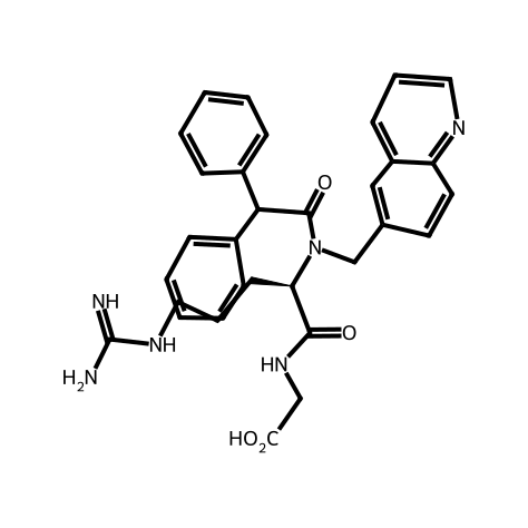 N=C(N)NCCC[C@H](C(=O)NCC(=O)O)N(Cc1ccc2ncccc2c1)C(=O)C(c1ccccc1)c1ccccc1